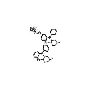 CC(=O)[O-].CC(=O)[O-].CC1CCC(C(C)C)C(P(c2ccccc2)c2ccccc2)C1.CC1CCC(C(C)C)C(P(c2ccccc2)c2ccccc2)C1.[Pd+2]